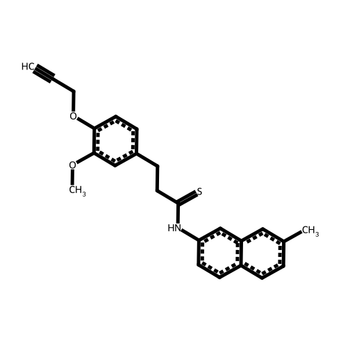 C#CCOc1ccc(CCC(=S)Nc2ccc3ccc(C)cc3c2)cc1OC